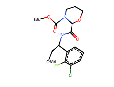 COC[C@@H](NC(=O)[C@@H]1OCCCN1C(=O)OC(C)(C)C)c1cccc(Cl)c1F